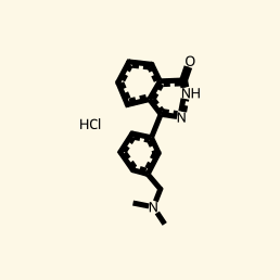 CN(C)Cc1cccc(-c2n[nH]c(=O)c3ccccc23)c1.Cl